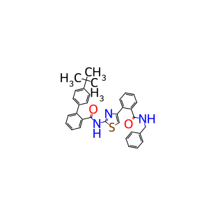 CC(C)(C)c1ccc(-c2ccccc2C(=O)Nc2nc(-c3ccccc3C(=O)NCc3ccccc3)cs2)cc1